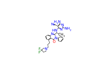 CC(Nc1nc(N)nc(N)c1C#N)c1nc2cccc(CCCN3CCC(F)(F)C3)c2c(=O)n1-c1ccccc1